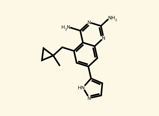 CC1(Cc2cc(-c3ccn[nH]3)cc3nc(N)nc(N)c23)CC1